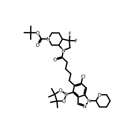 CC(C)(C)OC(=O)N1CCC2C(C1)N(C(=O)CCCCc1c(Cl)cc3c(cnn3C3CCCCO3)c1B1OC(C)(C)C(C)(C)O1)CC2(F)F